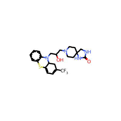 O=C1NCC2(CCN(CC(O)CN3c4ccccc4SC4=CC=C(C(F)(F)F)CC43)CC2)N1